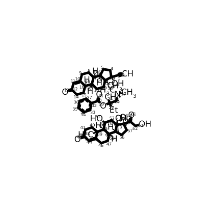 C#C[C@]1(O)CC[C@H]2[C@@H]3CCC4=CC(=O)CC[C@@H]4[C@H]3CC[C@@]21C.CCC(C)(CN(C)C)OC(=O)c1ccccc1.C[C@]12CCC(=O)C=C1CC[C@@H]1[C@@H]2[C@@H](O)C[C@@]2(C)[C@H]1CC[C@]2(O)C(=O)CO